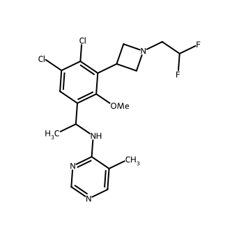 COc1c(C(C)Nc2ncncc2C)cc(Cl)c(Cl)c1C1CN(CC(F)F)C1